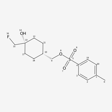 Cc1ccc(S(=O)(=O)OC[C@H]2CC[C@](O)(CF)CC2)cc1